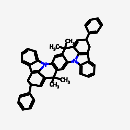 CC1(C)C2=CC(c3ccccc3)Cc3c2n(c2ccccc32)-c2cc3c(cc21)-n1c2c(c4ccccc41)CC(c1ccccc1)C=C2C3(C)C